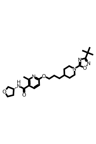 Cc1nc(OCCCC2CCN(c3nc(C(C)(C)C)no3)CC2)ccc1C(=O)N[C@@H]1CCOC1